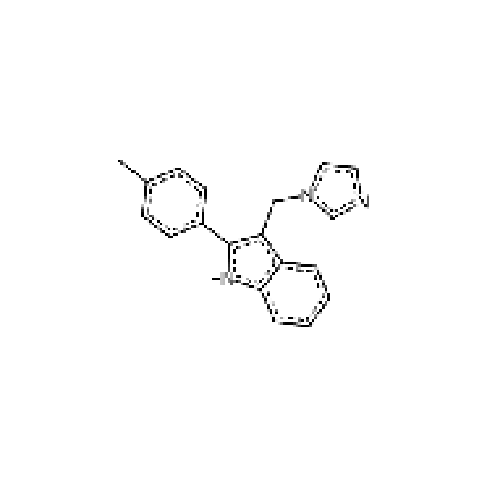 Cc1ccc(-c2[nH]c3ccccc3c2Cn2ccnc2)cc1